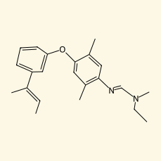 CC=C(C)c1cccc(Oc2cc(C)c(N=CN(C)CC)cc2C)c1